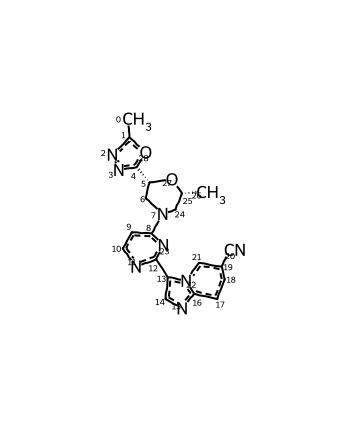 Cc1nnc([C@H]2CN(c3ccnc(-c4cnc5ccc(C#N)cn45)n3)C[C@@H](C)O2)o1